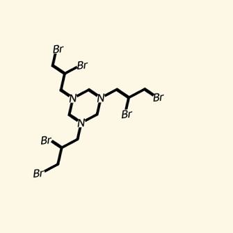 BrCC(Br)CN1CN(CC(Br)CBr)CN(CC(Br)CBr)C1